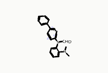 C\C=C(/C=C\C(=C/C)N(C=O)c1ccccc1N(C)C)c1ccccc1